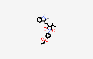 C=CC(=O)Oc1ccc(N2C(=O)C(=CCc3c(C)n(C)c4ccccc34)C(=C(C)C)C2=O)cc1